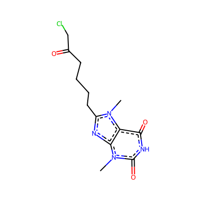 Cn1c(CCCCC(=O)CCl)nc2c1c(=O)[nH]c(=O)n2C